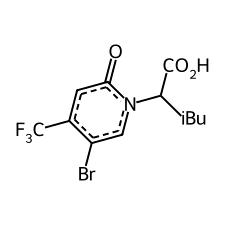 CCC(C)C(C(=O)O)n1cc(Br)c(C(F)(F)F)cc1=O